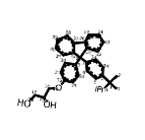 CC(C)C(C)(C)c1ccc(C2(c3ccc(OCC(O)CO)cc3)c3ccccc3-c3ccccc32)cc1